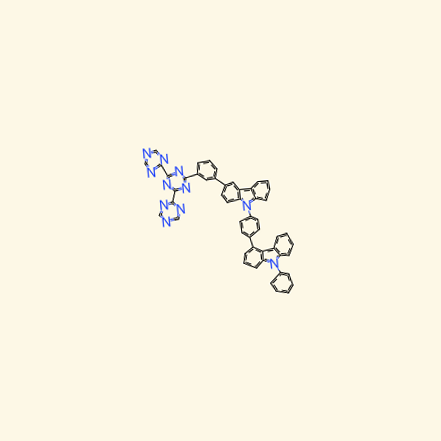 c1ccc(-n2c3ccccc3c3c(-c4ccc(-n5c6ccccc6c6cc(-c7cccc(-c8nc(-c9ncncn9)nc(-c9ncncn9)n8)c7)ccc65)cc4)cccc32)cc1